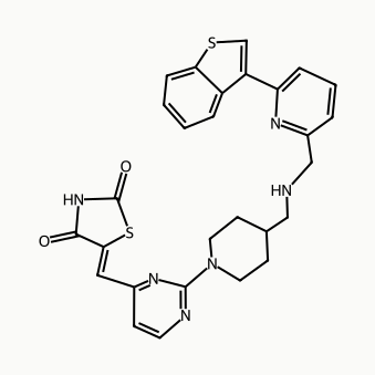 O=C1NC(=O)C(=Cc2ccnc(N3CCC(CNCc4cccc(-c5csc6ccccc56)n4)CC3)n2)S1